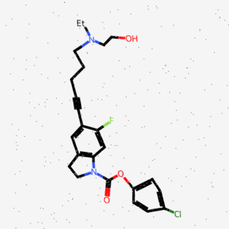 CCN(CCO)CCCC#Cc1cc2c(cc1F)N(C(=O)Oc1ccc(Cl)cc1)CC2